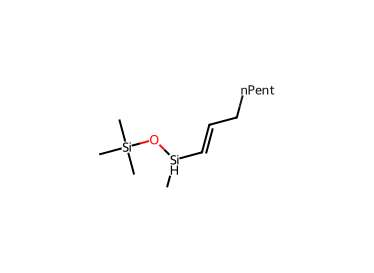 CCCCCCC=C[SiH](C)O[Si](C)(C)C